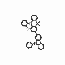 CC1(C)c2ccccc2N2c3ccccc3Sc3cc(-c4ccc5c(c4)N(c4ccccc4)C4C=CC=CC54)cc1c32